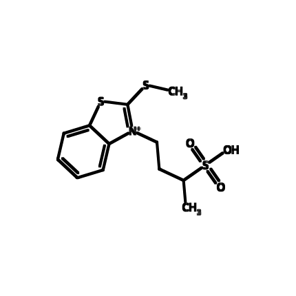 CSc1sc2ccccc2[n+]1CCC(C)S(=O)(=O)O